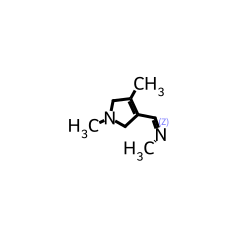 C/N=C\C1=C(C)CN(C)C1